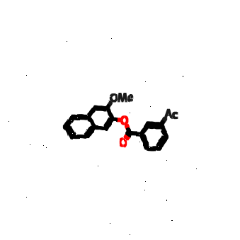 COc1cc2ccccc2cc1OC(=O)c1cccc(C(C)=O)c1